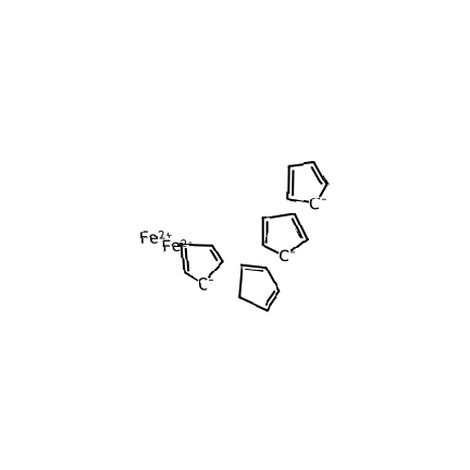 C1=CCC=C1.[Fe+2].[Fe+2].c1cc[cH-]c1.c1cc[cH-]c1.c1cc[cH-]c1